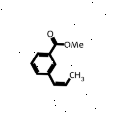 C/C=C\c1cccc(C(=O)OC)c1